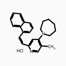 Cc1cnc(/C=C\c2cccc3ccccc23)cc1N1CCCCCC1.Cl